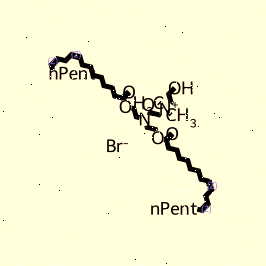 CCCCC/C=C\C/C=C\CCCCCCCC(=O)OCCN(CCOC(=O)CCCCCCC/C=C\C/C=C\CCCCC)C(=O)C[N+](C)(C)CCO.[Br-]